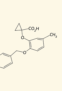 Cc1ccc(OCc2ccccc2)c(OC2(C(=O)O)CC2)c1